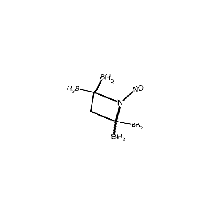 BC1(B)CC(B)(B)N1N=O